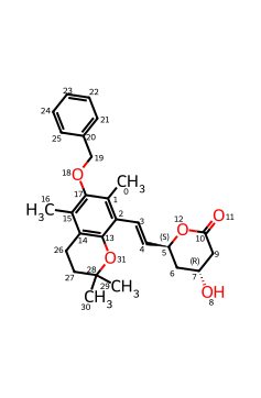 Cc1c(C=C[C@@H]2C[C@@H](O)CC(=O)O2)c2c(c(C)c1OCc1ccccc1)CCC(C)(C)O2